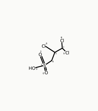 O=S(=O)(O)CC(Cl)C(Cl)Cl